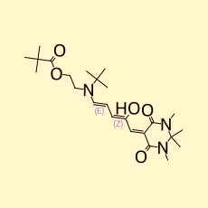 CN1C(=O)C(=C/C(O)=C/C=C/N(CCOC(=O)C(C)(C)C)C(C)(C)C)C(=O)N(C)C1(C)C